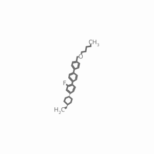 C=C[C@H]1CC[C@H](c2ccc(-c3ccc(-c4ccc(COCCCCC)cc4)cc3)c(F)c2)CC1